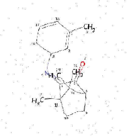 CC1=CC(N=C2C(=O)C3CCC2(C)C3(C)C)CC=C1